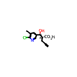 C#CC[C@@H](C(=O)O)[C@H](O)c1cnc(Cl)c(C)c1